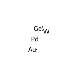 [Au].[Ge].[Pd].[W]